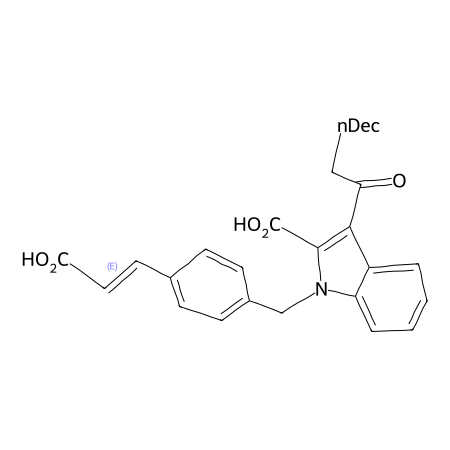 CCCCCCCCCCCC(=O)c1c(C(=O)O)n(Cc2ccc(/C=C/C(=O)O)cc2)c2ccccc12